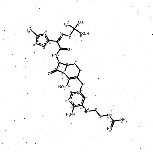 CC(C)(O/N=C(\C(=O)N[C@@H]1C(=O)N2C(C(=O)O)=C(C[n+]3cnc(N)c(NCCNC(=N)N)c3)CSC12)c1csc(N)n1)C(=O)O